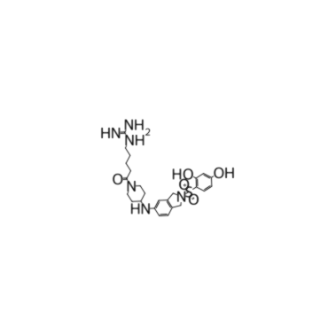 N=C(N)NCCCCC(=O)N1CCC(Nc2ccc3c(c2)CN(S(=O)(=O)c2ccc(O)cc2O)C3)CC1